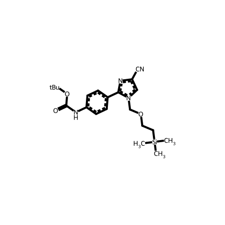 CC(C)(C)OC(=O)Nc1ccc(-c2nc(C#N)cn2COCC[Si](C)(C)C)cc1